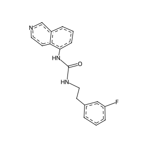 O=C(NCCc1cccc(F)c1)Nc1cccc2cnccc12